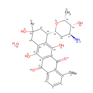 COc1cccc2c1C(=O)c1c(O)c3c(c(O)c1C2=O)CC(O)(C(C)=O)CC3[C@H]1C[C@H](N)[C@@H](O)[C@@H](C)O1.O